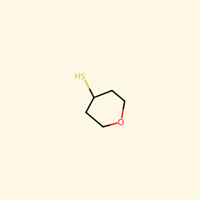 SC1CCOCC1